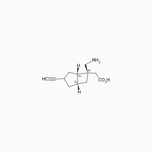 C#CC1C[C@H]2C[C@@](CN)(CC(=O)O)[C@H]2C1